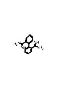 N=C(N)c1ccccc1-c1ccccc1C(=N)N